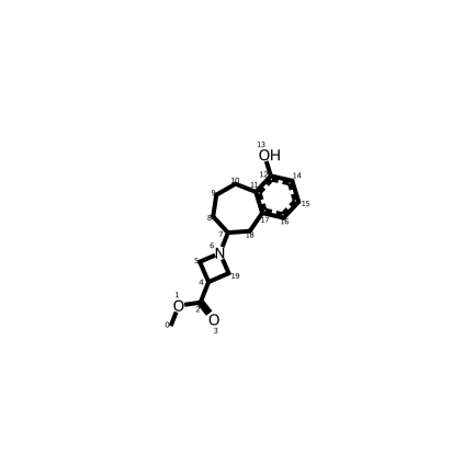 COC(=O)C1CN(C2CCCc3c(O)cccc3C2)C1